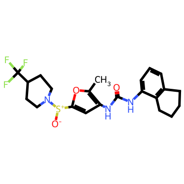 Cc1oc([S+]([O-])N2CCC(C(F)(F)F)CC2)cc1NC(=O)Nc1cccc2c1CCCC2